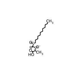 CCCCCCCCCCCC[S+]([O-])C(=S)[S+]([O-])C(C)C(=O)O